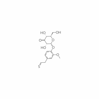 COc1cc(CC=S)ccc1O[C@@H]1O[C@H](CO)[C@@H](O)C(=O)[C@H]1O